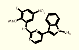 COc1c(F)cc([N+](=O)[O-])cc1Nc1nccc(-c2cn(C)c3ccccc23)n1